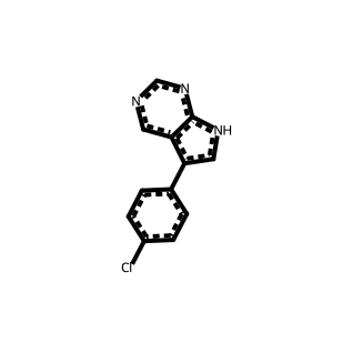 Clc1ccc(-c2c[nH]c3ncncc23)cc1